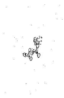 O=[Se]([O-])[O-].O=[Se]([O-])[O-].[Fe+3].[Na+]